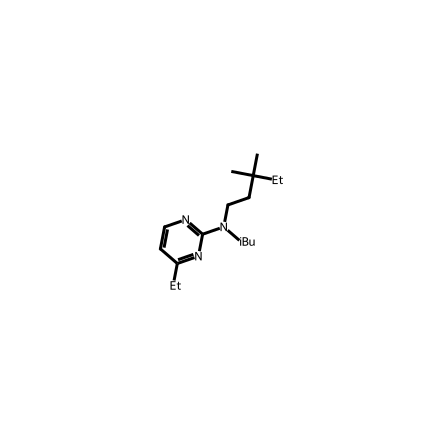 CCc1ccnc(N(CCC(C)(C)CC)C(C)CC)n1